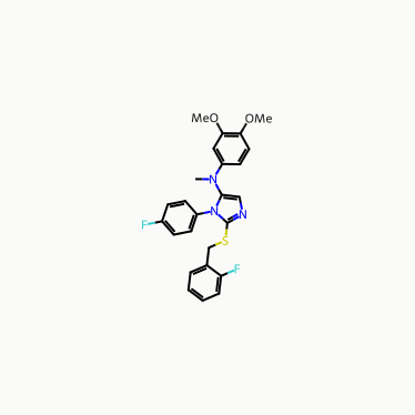 COc1ccc(N(C)c2cnc(SCc3ccccc3F)n2-c2ccc(F)cc2)cc1OC